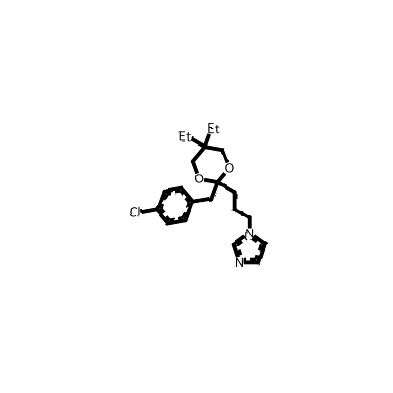 CCC1(CC)COC(CCCn2ccnc2)(Cc2ccc(Cl)cc2)OC1